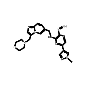 Cn1cc(-c2cnc(N=N)c(NCc3ccc4ncc(CN5CCOCC5)n4c3)n2)cn1